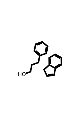 C1=Cc2ccccc2C1.OCCCc1ccccc1